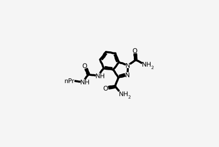 CCCNC(=O)Nc1cccc2c1c(C(N)=O)nn2C(N)=O